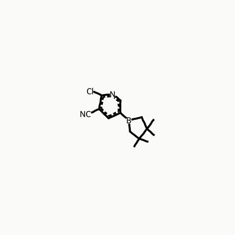 CC1(C)CB(c2cnc(Cl)c(C#N)c2)CC1(C)C